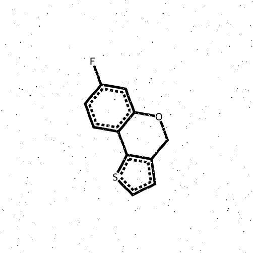 Fc1ccc2c(c1)OCc1ccsc1-2